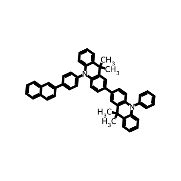 CC1(C)c2ccccc2N(c2ccccc2)c2ccc(-c3ccc4c(c3)C(C)(C)c3ccccc3N4c3ccc(-c4ccc5ccccc5c4)cc3)cc21